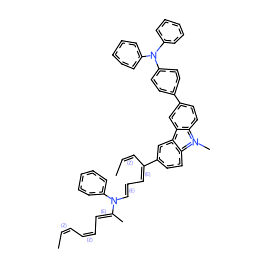 C\C=C/C=C\C=C(/C)N(/C=C/C=C(\C=C/C)c1ccc2c(c1)c1cc(-c3ccc(N(c4ccccc4)c4ccccc4)cc3)ccc1n2C)c1ccccc1